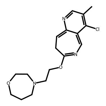 Cc1cnc2c(c1Cl)=CN=C(OCCN1CCCOCC1)CC=2